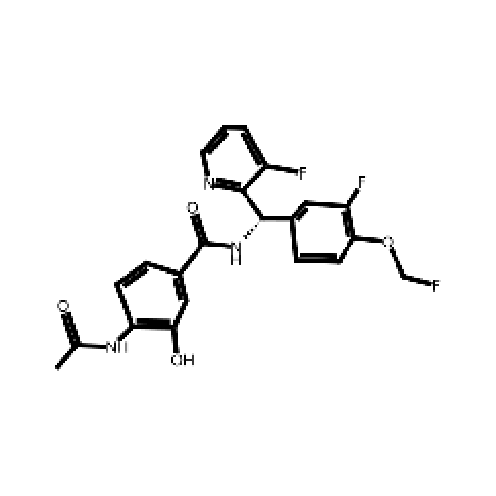 CC(=O)Nc1ccc(C(=O)N[C@@H](c2ccc(OCF)c(F)c2)c2ncccc2F)cc1O